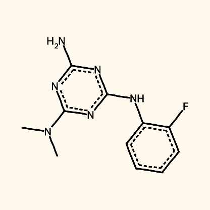 CN(C)c1nc(N)nc(Nc2ccccc2F)n1